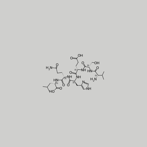 CC(C)C[C@H](NC(=O)[C@H](CCC(N)=O)NC(=O)[C@H](Cc1c[nH]cn1)NC(=O)[C@H](CCC(=O)O)NC(=O)[C@H](CO)NC(=O)[C@@H](N)C(C)C)C(=O)O